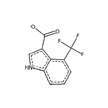 [O]C(=O)c1c[nH]c2cccc(C(F)(F)F)c12